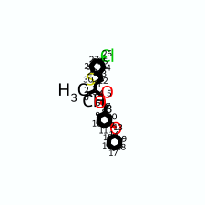 CC(C)C(C(=O)OCc1cccc(Oc2ccccc2)c1)c1cc2cc(Cl)ccc2s1